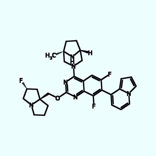 C[C@@]12CC[C@H](CN(c3nc(OC[C@@]45CCCN4C[C@H](F)C5)nc4c(F)c(-c5cccn6cccc56)c(F)cc34)C1)N2